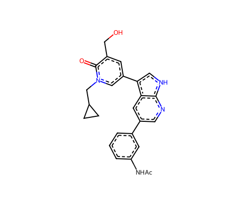 CC(=O)Nc1cccc(-c2cnc3[nH]cc(-c4cc(CO)c(=O)n(CC5CC5)c4)c3c2)c1